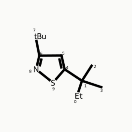 CCC(C)(C)c1cc(C(C)(C)C)ns1